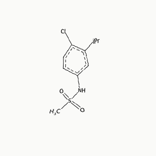 CC(C)c1cc(NS(C)(=O)=O)ccc1Cl